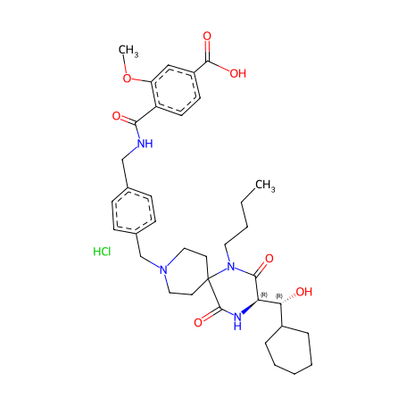 CCCCN1C(=O)[C@@H]([C@H](O)C2CCCCC2)NC(=O)C12CCN(Cc1ccc(CNC(=O)c3ccc(C(=O)O)cc3OC)cc1)CC2.Cl